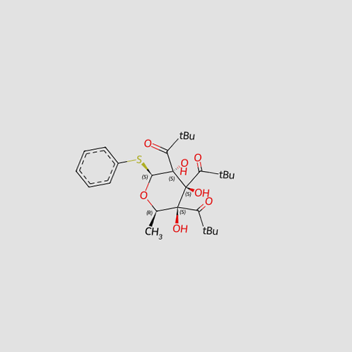 C[C@H]1O[C@@H](Sc2ccccc2)[C@@](O)(C(=O)C(C)(C)C)[C@](O)(C(=O)C(C)(C)C)[C@]1(O)C(=O)C(C)(C)C